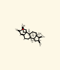 C#CCC12CCC(=O)C=C1CC[C@@H]1[C@@H]2CC[C@]2(C)C(=O)C(=O)C[C@@H]12